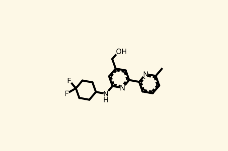 Cc1cccc(-c2cc(CO)cc(NC3CCC(F)(F)CC3)n2)n1